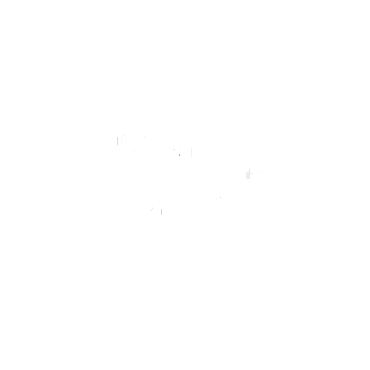 CC(C)C(=O)C(NC(=O)O)C(C)(C)C